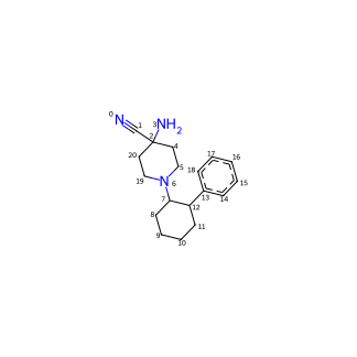 N#CC1(N)CCN(C2CCCCC2c2ccccc2)CC1